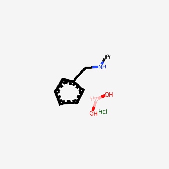 CC(C)NCc1ccccc1.Cl.OBO